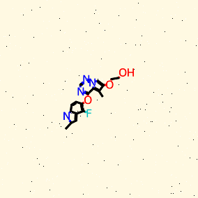 Cc1c(OCCO)cn2ncnc(Oc3ccc4c(c3F)=CC(C)N=4)c12